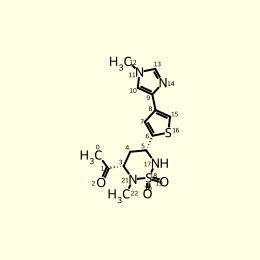 CC(=O)[C@@H]1C[C@H](c2cc(-c3cn(C)cn3)cs2)NS(=O)(=O)N1C